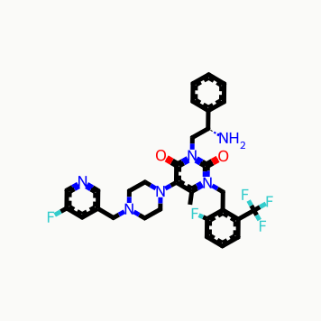 Cc1c(N2CCN(Cc3cncc(F)c3)CC2)c(=O)n(C[C@@H](N)c2ccccc2)c(=O)n1Cc1c(F)cccc1C(F)(F)F